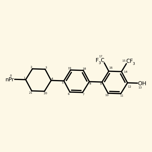 CCCC1CCC(c2ccc(-c3ccc(O)c(C(F)(F)F)c3C(F)(F)F)cc2)CC1